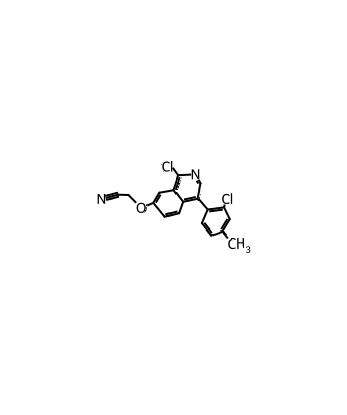 Cc1ccc(-c2cnc(Cl)c3cc(OCC#N)ccc23)c(Cl)c1